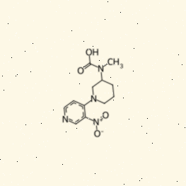 CN(C(=O)O)C1CCCN(c2ccncc2[N+](=O)[O-])C1